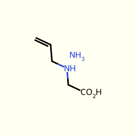 C=CCNCC(=O)O.N